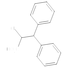 O=C(O)C(Cl)C(c1ccccc1)c1ccccc1